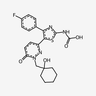 O=C(O)Nc1nc(-c2ccc(F)cc2)c(-c2ccc(=O)n(CC3(O)CCCCC3)n2)s1